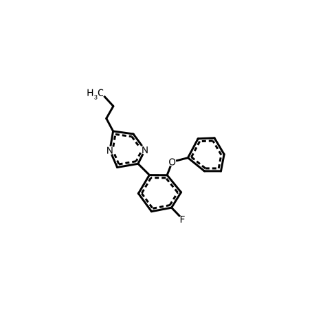 CCCc1cnc(-c2ccc(F)cc2Oc2ccccc2)cn1